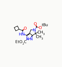 CCOC(=O)n1nc2c(c1NC(=O)C1CCC1)CN(C(=O)OC(C)(C)C)C2(C)C